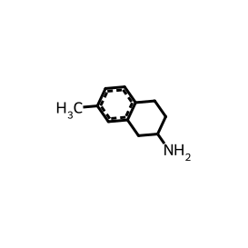 Cc1ccc2c(c1)CC(N)CC2